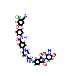 N#Cc1ccc(O[C@H]2CC[C@H](NC(=O)c3ccc(N4CCN(CCNc5ccc6c(c5)C(=O)N(C5CCC(=O)NC5=O)C6=O)CC4)cc3)CC2)cc1Cl